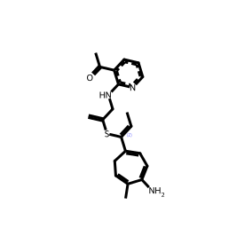 C=C(CNc1ncccc1C(C)=O)S/C(=C\C)C1=CC=C(N)C(C)=CC1